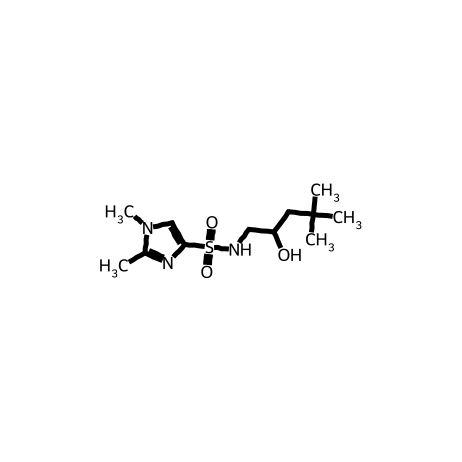 Cc1nc(S(=O)(=O)NCC(O)CC(C)(C)C)cn1C